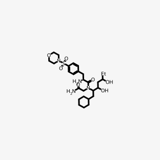 CCC(O)CC(O)C(CC1CCCCC1)N(CC(N)=O)C(=O)[C@@H](N)Cc1ccc(S(=O)(=O)N2CCOCC2)cc1